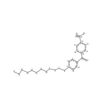 C=C(c1ccc(CCCCCCCCCCCC)cc1)c1ccc([SiH](C)C)cc1